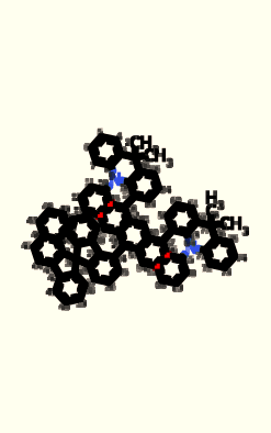 CC1(C)c2ccccc2N(c2ccccc2)c2c(-c3cccc4c(-c5cccc6c5-c5ccccc5C65c6ccccc6-c6ccc7ccccc7c65)c5cccc(-c6cccc7c6N(c6ccccc6)c6ccccc6C7(C)C)c5cc34)cccc21